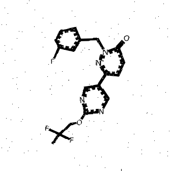 CC(F)(F)COc1ncc(-c2ccc(=O)n(Cc3cccc(F)c3)n2)cn1